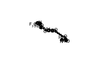 CN1C(=O)C[C@H](C(=O)NCCCCCCCCC(=O)N2CCN([C@H]3CC[C@H](C(=O)NCCN4CC[C@H](Nc5ncnc6ccc(C(F)(F)F)cc56)C4=O)CC3)CC2)[C@H]1c1cccnc1